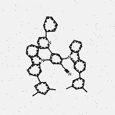 Cc1cc(C)cc(-c2ccc3c4ccccc4n(-c4cc(-c5cccc(-c6ccccc6)n5)c(-n5c6ccccc6c6ccc(-c7cc(C)cc(C)c7)cc65)cc4C#N)c3c2)c1